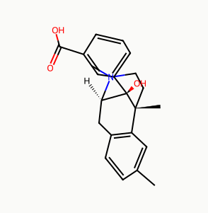 Cc1ccc2c(c1)[C@@]1(C)CCN(C)[C@H](C2)[C@]1(O)c1cccc(C(=O)O)c1